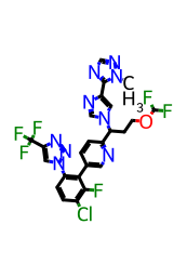 Cn1ncnc1-c1cn(C(CCOC(F)F)c2ccc(-c3c(-n4cc(C(F)(F)F)nn4)ccc(Cl)c3F)cn2)cn1